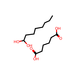 CCCCCCCC(O)O.O=C(O)CCCCC(=O)O